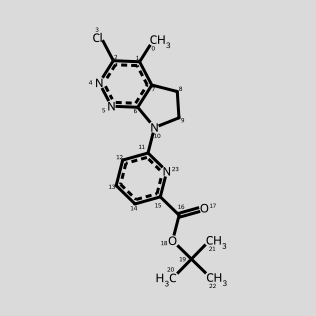 Cc1c(Cl)nnc2c1CCN2c1cccc(C(=O)OC(C)(C)C)n1